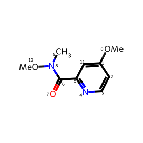 COc1ccnc(C(=O)N(C)OC)c1